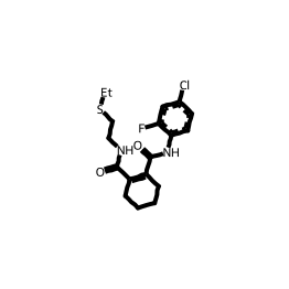 CCSCCNC(=O)C1=C(C(=O)Nc2ccc(Cl)cc2F)CCCC1